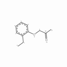 CCc1ccccc1OCC(C)=O